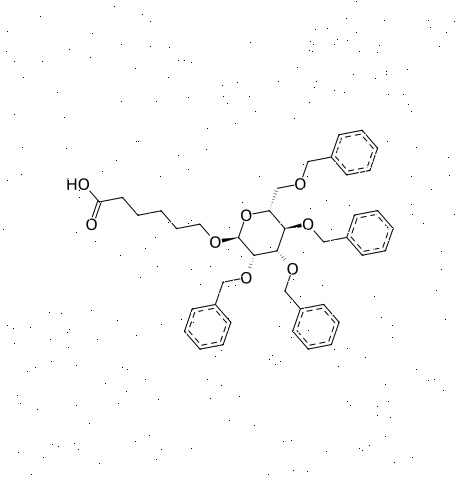 O=C(O)CCCCCO[C@H]1O[C@H](COCc2ccccc2)[C@@H](OCc2ccccc2)[C@H](OCc2ccccc2)[C@@H]1OCc1ccccc1